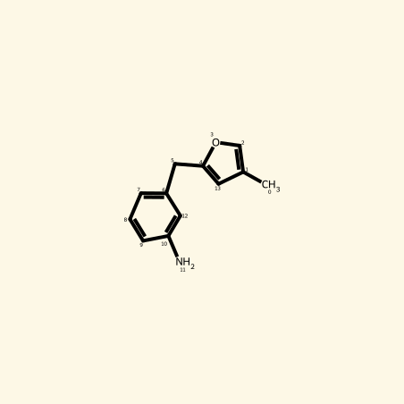 Cc1coc(Cc2cccc(N)c2)c1